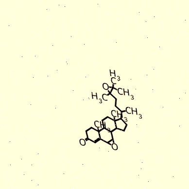 CC(CCC1(C)OC1(C)C)C1CCC2C3C4OC4C4=CC(=O)CCC4(C)C3CCC12C